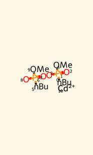 CCCCP(=O)([O-])OC.CCCCP(=O)([O-])OC.[Cd+2]